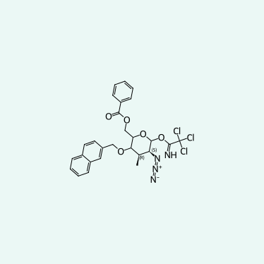 C[C@H]1C(OCc2ccc3ccccc3c2)C(COC(=O)c2ccccc2)OC(OC(=N)C(Cl)(Cl)Cl)[C@H]1N=[N+]=[N-]